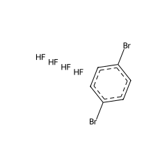 Brc1ccc(Br)cc1.F.F.F.F